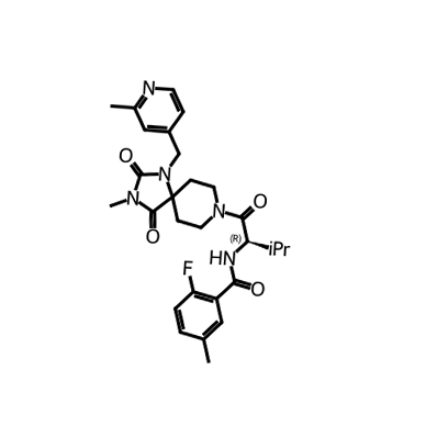 Cc1ccc(F)c(C(=O)N[C@@H](C(=O)N2CCC3(CC2)C(=O)N(C)C(=O)N3Cc2ccnc(C)c2)C(C)C)c1